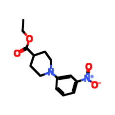 CCOC(=O)C1CCN(c2cccc([N+](=O)[O-])c2)CC1